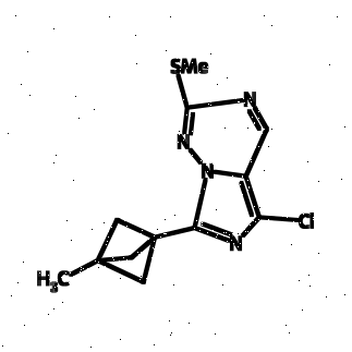 CSc1ncc2c(Cl)nc(C34CC(C)(C3)C4)n2n1